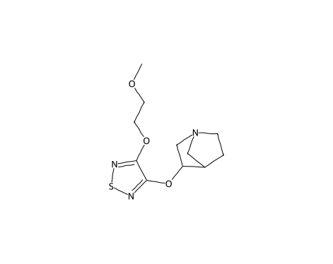 COCCOc1nsnc1OC1CN2CCC1C2